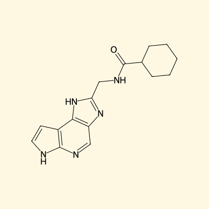 O=C(NCc1nc2cnc3[nH]ccc3c2[nH]1)C1CCCCC1